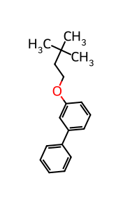 CC(C)(C)CCOc1cccc(-c2ccccc2)c1